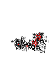 C=C1C[C@@]23CC[C@H]4[C@@](C)(CCC[C@@]4(C)C(=O)OC4OC(CO)C(O)C(OC5OC(CO)C(O)C(O)C5O)C4OC4OC(CO)C(O)C(O)C4O)[C@@H]2CCC1(OC1OC(CO)C(O)C(OC2OC(CO)C(O)C(O)C2O)C1OC1OC(COC2OC(CO)C(O)C(OC4OC(CO)C(O)C(O)C4O)C2OC2OC(CO)C(O)C(O)C2O)C(O)C(O)C1O)C3